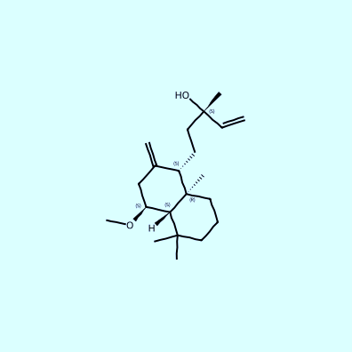 C=C[C@@](C)(O)CC[C@H]1C(=C)C[C@H](OC)[C@H]2C(C)(C)CCC[C@]12C